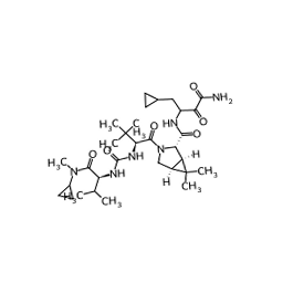 CC(C)[C@H](NC(=O)N[C@H](C(=O)N1C[C@H]2[C@@H]([C@H]1C(=O)NC(CC1CC1)C(=O)C(N)=O)C2(C)C)C(C)(C)C)C(=O)N(C)C1CC1